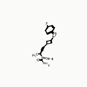 CC(C#CC1CC(Oc2ccc(F)cc2)C1)N(O)C(N)=O